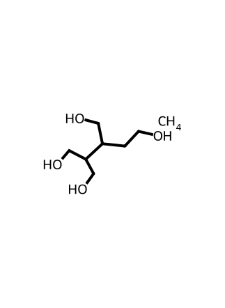 C.OCCC(CO)C(CO)CO